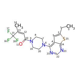 CCc1cc2c(N3CCN(C(=O)C=C(C)C(F)(F)F)CC3)ncnc2s1